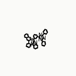 c1ccc(-c2nc(-c3ccccc3)nc(-c3cccc(N4c5cc6ccccc6cc5-c5ccccc5-n5c4nc4ccccc45)c3)n2)cc1